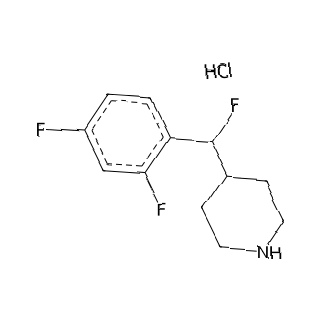 Cl.Fc1ccc(C(F)C2CCNCC2)c(F)c1